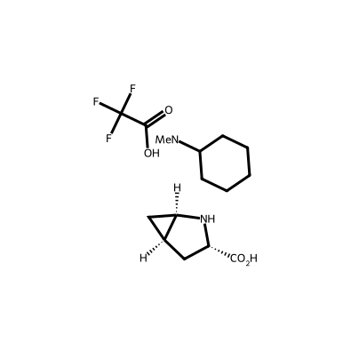 CNC1CCCCC1.O=C(O)C(F)(F)F.O=C(O)[C@@H]1C[C@H]2C[C@H]2N1